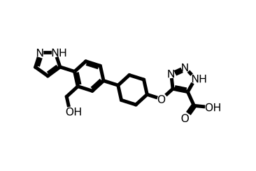 O=C(O)c1[nH]nnc1OC1CCC(c2ccc(-c3ccn[nH]3)c(CO)c2)CC1